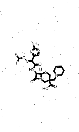 Nc1nc(C(=NOC(F)F)C(=O)NC2C(=O)N3CC(CN4CC=CCC4)(C(=O)O)CS[C@H]23)cs1